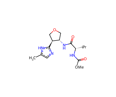 COC(=O)N[C@H](C(=O)N[C@H]1COC[C@@H]1c1ncc(C)[nH]1)C(C)C